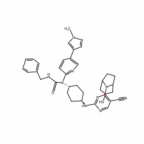 Cn1cc(-c2ccc(N(C(=O)NCc3ccccc3)[C@H]3CC[C@H](Nc4ncc(C#N)c(N5C6CCC5CC(O)C6)n4)CC3)nc2)cn1